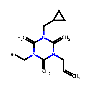 C=CCN1C(=C)N(CC(C)CC)C(=C)N(CC2CC2)C1=C